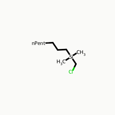 CCCCCCCC[Si](C)(C)CCl